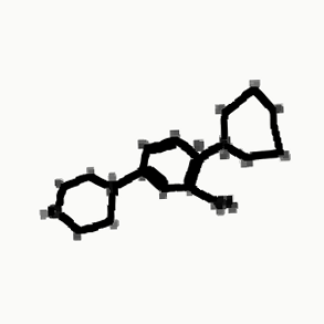 Nc1cc(N2CCOCC2)ccc1N1CCCCC1